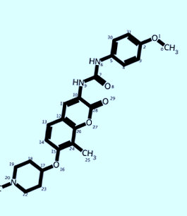 COc1ccc(NC(=O)Nc2cc3ccc(OC4CCN(C)CC4)c(C)c3oc2=O)cc1